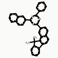 CC1(C)c2ccccc2-c2ccc3ccc(-c4nc(-c5ccccc5)nc(-c5ccc6ccccc6c5)n4)cc3c21